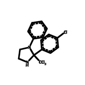 Clc1ccc(C2(C(Cl)(Cl)Cl)NCCN2c2ccccc2)cc1